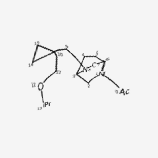 CC(=O)N1CC2CCC1CN2CC1(COC(C)C)CC1